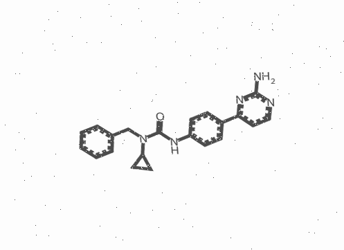 Nc1nccc(-c2ccc(NC(=O)N(Cc3ccccc3)C3CC3)cc2)n1